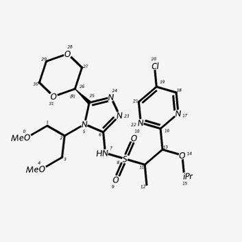 COCC(COC)n1c(NS(=O)(=O)C(C)C(OC(C)C)c2ncc(Cl)cn2)nnc1[C@@H]1COCCO1